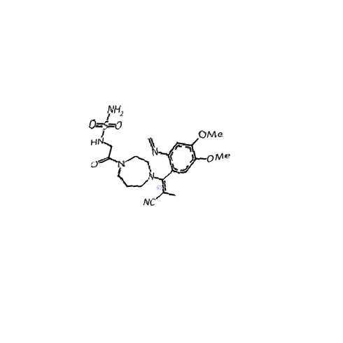 C=Nc1cc(OC)c(OC)cc1/C(=C(\C)C#N)N1CCCN(C(=O)CNS(N)(=O)=O)CC1